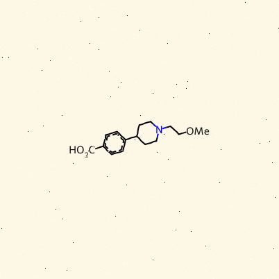 COCCN1CCC(c2ccc(C(=O)O)cc2)CC1